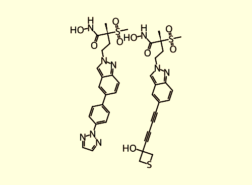 C[C@@](CCn1cc2cc(-c3ccc(-n4nccn4)cc3)ccc2n1)(C(=O)NO)S(C)(=O)=O.C[C@@](CCn1cc2cc(C#CC#CC3(O)CSC3)ccc2n1)(C(=O)NO)S(C)(=O)=O